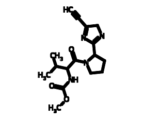 C#CC1=NC(C2CCCN2C(=O)C(NC(=O)OC)C(C)C)=NC1